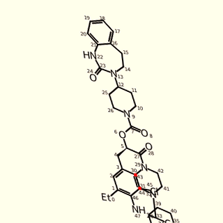 CCc1cc(C[C@@H](OC(=O)N2CCC(N3CCc4ccccc4NC3=O)CC2)C(=O)N2CCN(C3CN4CCC3CC4)CC2)cc(Cl)c1N